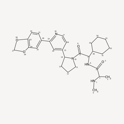 CNC(C)C(=O)NC(C(=O)N1CCCC1c1ccnc(-c2ccc3c(c2)OCO3)c1)C1CCCCC1